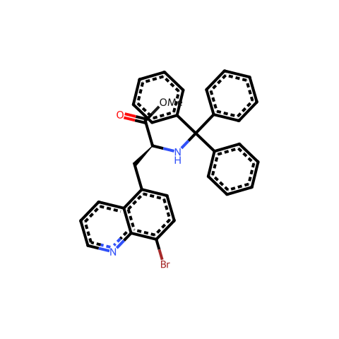 COC(=O)[C@H](Cc1ccc(Br)c2ncccc12)NC(c1ccccc1)(c1ccccc1)c1ccccc1